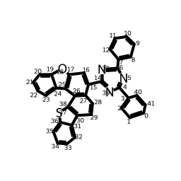 c1ccc(-c2nc(-c3ccccc3)nc(-c3cc4oc5ccccc5c4c4c3ccc3c5ccccc5sc34)n2)cc1